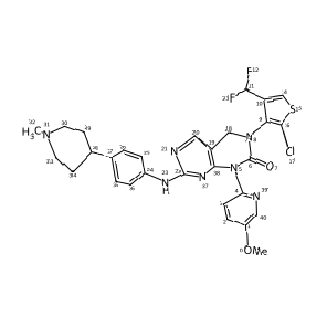 COc1ccc(N2C(=O)N(c3c(C(F)F)csc3Cl)Cc3cnc(Nc4ccc(C5CCN(C)CC5)cc4)nc32)nc1